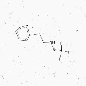 FC(F)(F)SNCCc1ccccc1